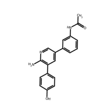 CC(=O)Nc1cccc(-c2cnc(N)c(-c3ccc(O)cc3)c2)c1